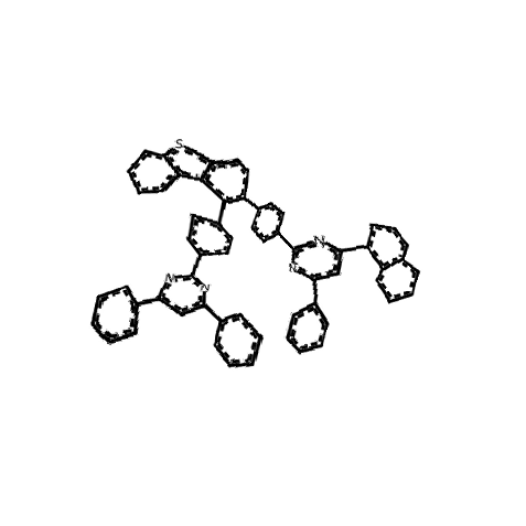 c1ccc(-c2cc(-c3ccccc3)nc(-c3ccc(-c4c(-c5ccc(-c6nc(-c7ccccc7)cc(-c7cccc8ccccc78)n6)cc5)ccc5sc6ccccc6c45)cc3)n2)cc1